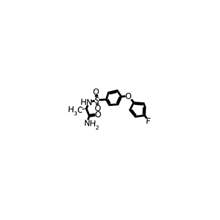 C[C@H](NS(=O)(=O)c1ccc(Oc2ccc(F)cc2)cc1)C(N)=O